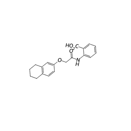 O=C(COc1ccc2c(c1)CCCC2)Nc1ccccc1C(=O)O